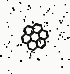 c1cc2ccc3ccc4ccc5ccc6c7c(c1CC6)c2c3c4c57